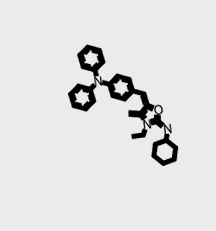 C=c1/c(=C\c2ccc(N(c3ccccc3)c3ccccc3)cc2)o/c(=N/C2CCCCC2)n1CC